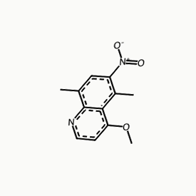 COc1ccnc2c(C)cc([N+](=O)[O-])c(C)c12